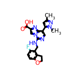 Cc1cc(-c2cnc(NCc3c(F)ccc4c3CCO4)n3cc(C(=O)O)nc23)n(C)n1